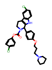 O=C(Oc1ccc(Cl)cc1)N1CCc2c([nH]c3ccc(Cl)cc23)C1c1ccc(OCCCN2CCCCC2)cc1